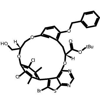 Cc1c(Cl)c2c(Cl)c(C)c1-c1c(Br)sc3ncnc(c13)O[C@@H](C(=O)OC(C)(C)C)Cc1cc(ccc1OCc1ccccc1)OC[C@@H](CO)O2